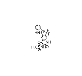 CS(=O)(=O)Nn1c(=O)[nH]c2cc(C(F)(F)F)c(-c3cc4ccccc4[nH]3)cc2c1=O